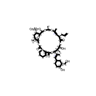 C=CC[C@@H]1/C=C(\C)C[C@H](C)C[C@H](OC)[C@H]2O[C@@](O)(CC(=O)N3CCCC[C@H]3C(=O)O[C@H](/C(C)=C/C3CC[C@@H](O)[C@H](CO)C3)[C@H](C)[C@H](O)CC1=O)[C@H](C)C[C@@H]2OC